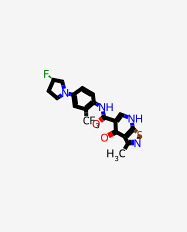 Cc1nsc2[nH]cc(C(=O)Nc3ccc(N4CC[C@H](F)C4)cc3C(F)(F)F)c(=O)c12